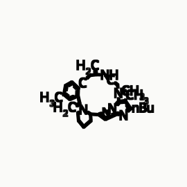 C=C1CCc2ccc(C)cc2C(=C)N2CCCCC2c2cc3nc(CCCC)c(C)c(n3n2)N(C)CCN1